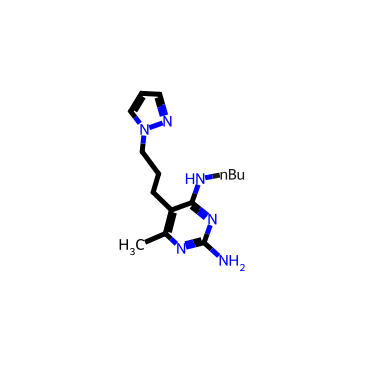 CCCCNc1nc(N)nc(C)c1CCCn1cccn1